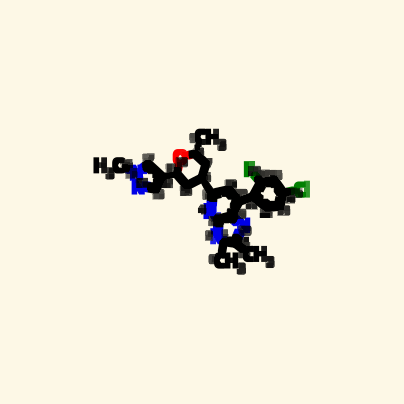 Cc1nc2nc([C@@H]3C[C@@H](C)O[C@H](c4cnn(C)c4)C3)cc(-c3ccc(Cl)cc3F)c2nc1C